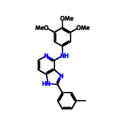 COc1cc(Nc2nccc3[nH]c(-c4cccc(C)c4)nc23)cc(OC)c1OC